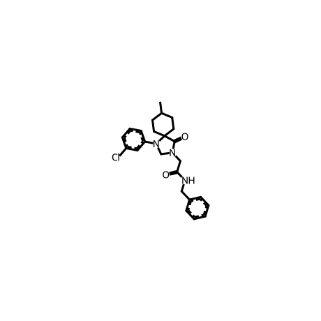 CC1CCC2(CC1)C(=O)N(CC(=O)NCc1ccccc1)CN2c1cccc(Cl)c1